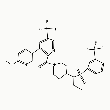 CCC(C1CCN(C(=O)c2ncc(C(F)(F)F)cc2-c2ccc(OC)nc2)CC1)S(=O)(=O)c1cccc(C(F)(F)F)c1